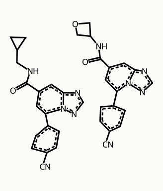 N#Cc1ccc(-c2cc(C(=O)NC3COC3)cc3ncnn23)cc1.N#Cc1ccc(-c2cc(C(=O)NCC3CC3)cc3ncnn23)cc1